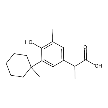 Cc1cc(C(C)C(=O)O)cc(C2(C)CCCCC2)c1O